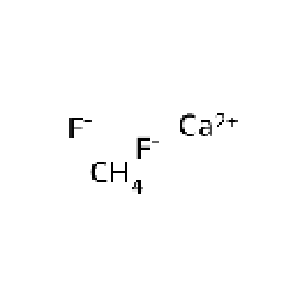 C.[Ca+2].[F-].[F-]